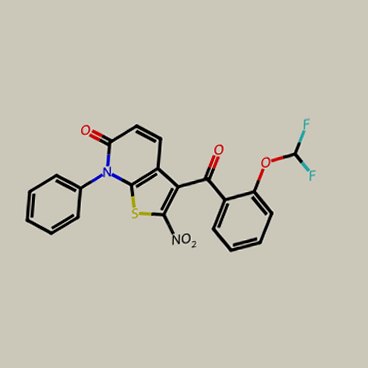 O=C(c1ccccc1OC(F)F)c1c([N+](=O)[O-])sc2c1ccc(=O)n2-c1ccccc1